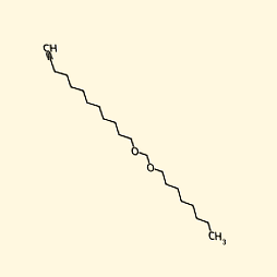 C#CCCCCCCCCCCOCOCCCCCCCC